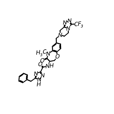 CN1C(=O)[C@H](NC(=O)c2n[nH]c(Cc3ccccc3)n2)COc2ccc(CN3CCn4c(nnc4C(F)(F)F)C3)cc21